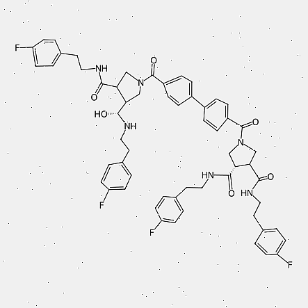 O=C(NCCc1ccc(F)cc1)C1CN(C(=O)c2ccc(-c3ccc(C(=O)N4CC(C(=O)NCCc5ccc(F)cc5)[C@H](C(=O)NCCc5ccc(F)cc5)C4)cc3)cc2)CC1[C@@H](O)NCCc1ccc(F)cc1